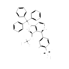 Cc1cc(-c2nccc3c2c(OC(F)(F)F)nn3C(c2ccccc2)(c2ccccc2)c2ccccc2)ccc1S(C)(=O)=O